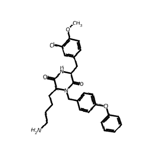 COc1ccc(CC2NC(=O)C(CCCCN)N(Cc3ccc(Oc4ccccc4)cc3)C2=O)cc1Cl